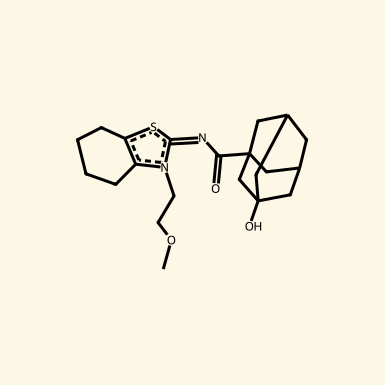 COCCn1c2c(sc1=NC(=O)C13CC4CC(CC(O)(C4)C1)C3)CCCC2